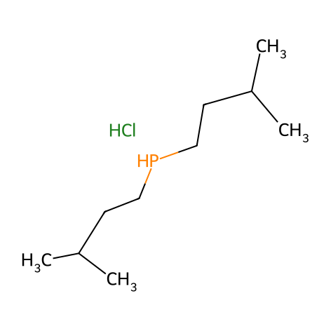 CC(C)CCPCCC(C)C.Cl